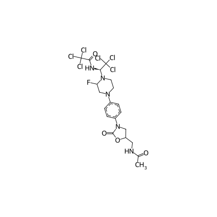 CC(=O)NCC1CN(c2ccc(N3CCN([C@@H](NC(=O)C(Cl)(Cl)Cl)C(Cl)(Cl)Cl)C(F)C3)cc2)C(=O)O1